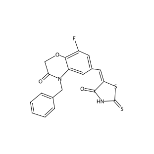 O=C1NC(=S)SC1=Cc1cc(F)c2c(c1)N(Cc1ccccc1)C(=O)CO2